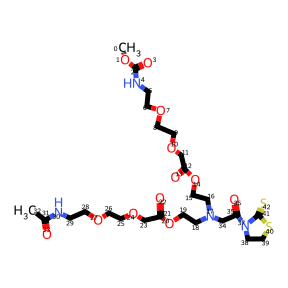 COC(=O)NCCOCCOCC(=O)OCCN(CCOC(=O)COCCOCCNC(C)=O)CC(=O)N1CCSC1=S